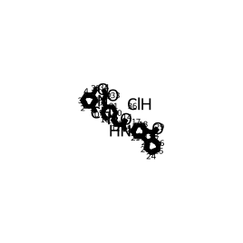 Cc1cccc2c1N(C1CCN(CC(=O)Nc3ccc4c(c3)-c3ccccc3C4=O)CC1)C(=O)OC2.Cl